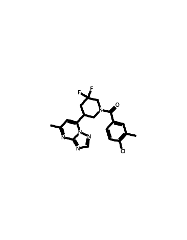 Cc1cc(C2CN(C(=O)c3ccc(Cl)c(C)c3)CC(F)(F)C2)n2ncnc2n1